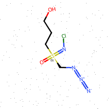 [N-]=[N+]=NC[S@@](=O)(CCCO)=NCl